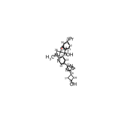 CC(C)c1ccc([C@](O)(c2cncc(-c3noc(C4CC(O)C4)n3)c2)C2(C)CN(C)C2)cc1